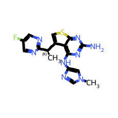 C[C@@H](c1ncc(F)cn1)c1csc2nc(N)nc(Nc3cn(C)cn3)c12